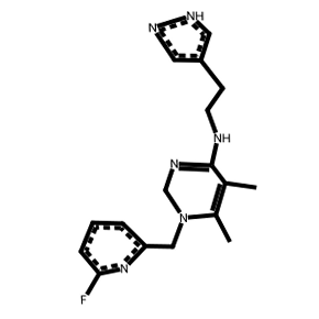 CC1=C(C)N(Cc2cccc(F)n2)CN=C1NCCc1cn[nH]c1